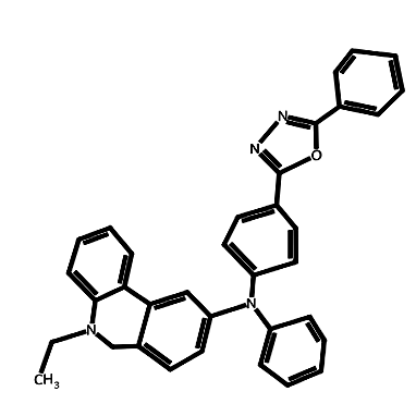 CCN1Cc2ccc(N(c3ccccc3)c3ccc(-c4nnc(-c5ccccc5)o4)cc3)cc2-c2ccccc21